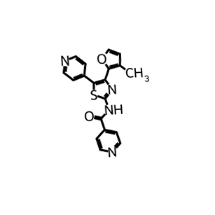 Cc1ccoc1-c1nc(NC(=O)c2ccncc2)sc1-c1ccncc1